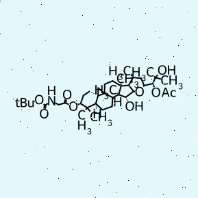 CC(=O)O[C@@H](C1C[C@@H](C)C2C(O1)[C@H](O)[C@@]1(C)[C@@H]3CC[C@H]4C(C)(C)[C@@H](OC(=O)CNC(=O)OC(C)(C)C)CC[C@@]45CC35CC[C@]21C)C(C)(C)O